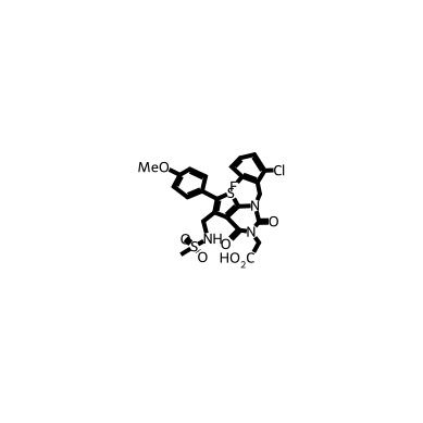 COc1ccc(-c2sc3c(c2CNS(C)(=O)=O)c(=O)n(CC(=O)O)c(=O)n3Cc2c(F)cccc2Cl)cc1